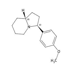 COc1ccc([C@@H]2CC[C@H]3CCCCN32)cc1